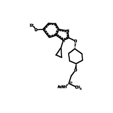 CCOc1ccc2nc(O[C@H]3CC[C@H](OC[C@H](C)NC(C)=O)CC3)n(C3CC3)c2c1